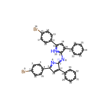 Brc1ccc(C2=N/C(=N\c3[nH]c(-c4ccc(Br)cc4)cc3-c3ccccc3)C(c3ccccc3)=C2)cc1